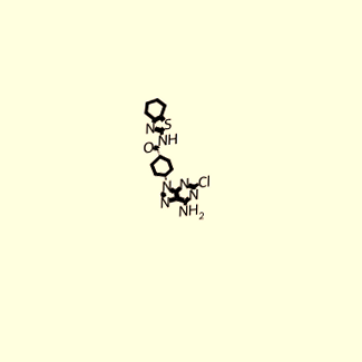 Nc1nc(Cl)nc2c1ncn2[C@H]1CC[C@@H](C(=O)Nc2nc3c(s2)CCCC3)CC1